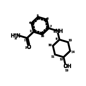 NC(=O)c1cc[c]c(NC2CCC(O)CC2)c1